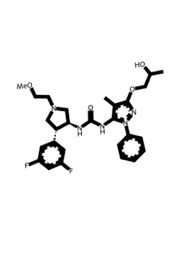 COCCN1C[C@@H](NC(=O)Nc2c(C)c(OCC(C)O)nn2-c2ccccc2)[C@H](c2cc(F)cc(F)c2)C1